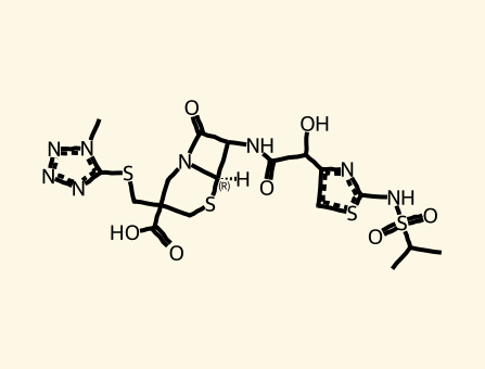 CC(C)S(=O)(=O)Nc1nc(C(O)C(=O)NC2C(=O)N3CC(CSc4nnnn4C)(C(=O)O)CS[C@H]23)cs1